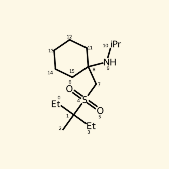 CCC(C)(CC)S(=O)(=O)CC1(NC(C)C)CCCCC1